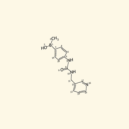 CB(O)c1ccc(NC(=O)NCc2cccnc2)cc1